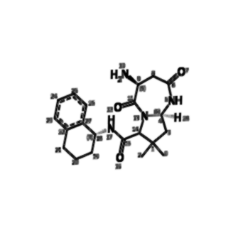 CC1(C)C[C@@H]2NC(=O)C[C@H](N)C(=O)N2C1C(=O)N[C@@H]1CCCc2ccccc21